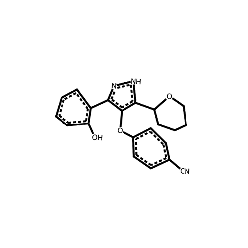 N#Cc1ccc(Oc2c(-c3ccccc3O)n[nH]c2C2CCCCO2)cc1